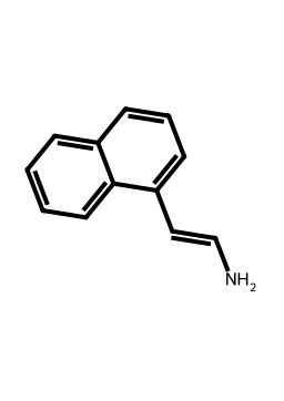 NC=Cc1cccc2ccccc12